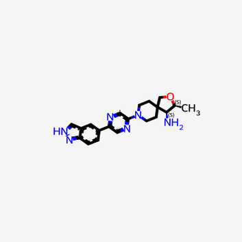 C[C@@H]1OCC2(CCN(c3[c]nc(-c4ccc5n[nH]cc5c4)cn3)CC2)[C@@H]1N